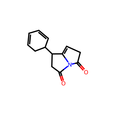 O=C1CC=C2C(C3C=CC=CC3)CC(=O)N12